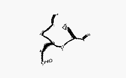 C=CCC(CC=O)OC(=O)C=C